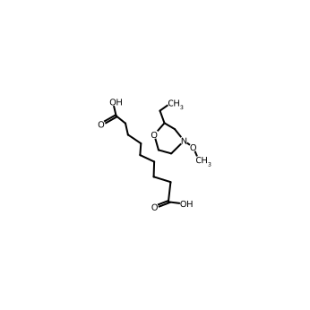 CCC1CN(OC)CCO1.O=C(O)CCCCCCCC(=O)O